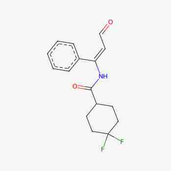 O=CC=C(NC(=O)C1CCC(F)(F)CC1)c1ccccc1